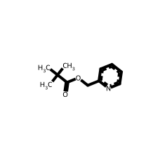 CC(C)(C)C(=O)OCc1ccccn1